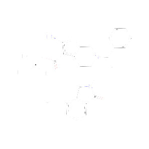 COCOc1cccc2c1CN(C[C@@H]1Cc3c(sc(N)c3C(=O)OC(C)(C)C)CN1[C@@H](C)c1ccccc1)C2=O